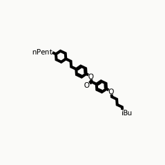 CCCCCC1CCC(CCc2ccc(OC(=O)c3ccc(OCCCCC(C)CC)cc3)cc2)CC1